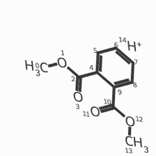 COC(=O)c1ccccc1C(=O)OC.[H+]